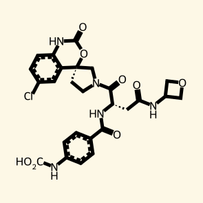 O=C(O)Nc1ccc(C(=O)N[C@@H](CC(=O)NC2COC2)C(=O)N2CC[C@@]3(C2)OC(=O)Nc2ccc(Cl)cc23)cc1